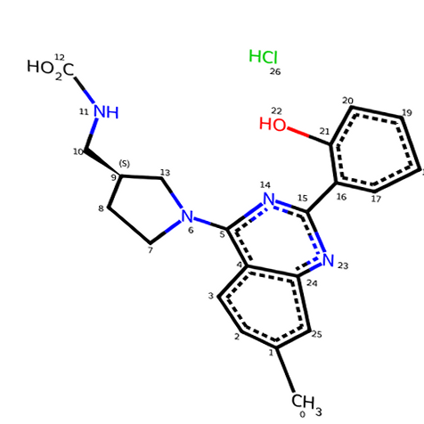 Cc1ccc2c(N3CC[C@@H](CNC(=O)O)C3)nc(-c3ccccc3O)nc2c1.Cl